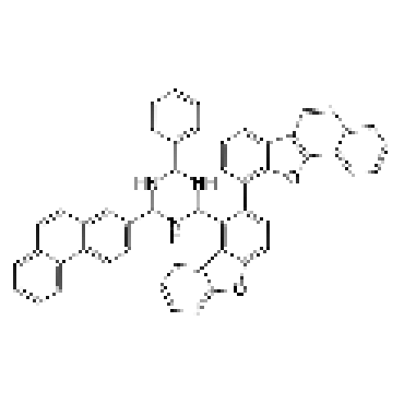 c1ccc(C2NC(c3ccc4c(ccc5ccccc54)c3)NC(c3c(-c4cccc5c4oc4c6ccccc6ccc54)ccc4oc5ccccc5c34)N2)cc1